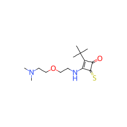 CN(C)CCOCCNc1c(C(C)(C)C)c(=O)c1=S